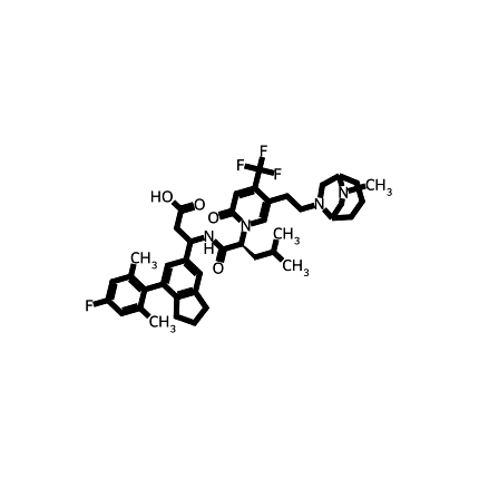 Cc1cc(F)cc(C)c1-c1cc(C(CC(=O)O)NC(=O)[C@H](CC(C)C)n2cc(CCN3CC4CCCC3CN4C)c(C(F)(F)F)cc2=O)cc2c1CCC2